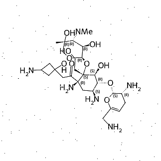 CN[C@@H]1[C@@H](O)[C@@H](O[C@]2(CCO)[C@@H](O)[C@H](O[C@H]3OC(CN)=CC[C@H]3N)[C@@H](N)C[C@]2(N)C(=O)CC2(O)CC(N)C2)OC[C@]1(C)O